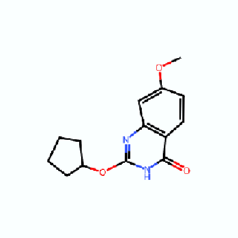 COc1ccc2c(=O)[nH]c(OC3CCCC3)nc2c1